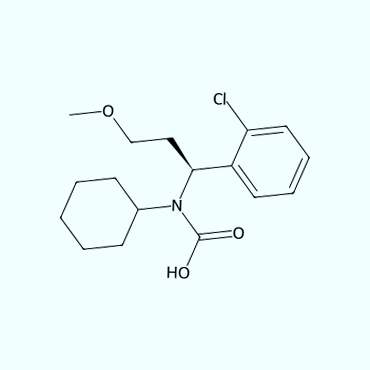 COCC[C@@H](c1ccccc1Cl)N(C(=O)O)C1CCCCC1